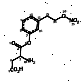 NC(CC(=O)O)C(=O)Oc1cccc(CCO[N+](=O)[O-])c1